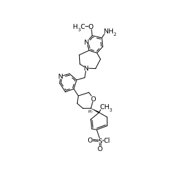 COc1nc2c(cc1N)CCN(Cc1cnccc1C1CC[C@H](C3(C)C=CC(S(=O)(=O)Cl)=CC3)OC1)CC2